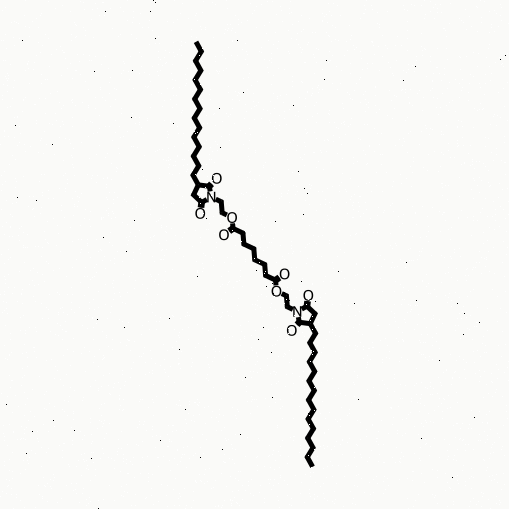 CCCCCCCCCCCCCCCC1CC(=O)N(CCOC(=O)CCCCCCC(=O)OCCN2C(=O)CC(CCCCCCCCCCCCCCC)C2=O)C1=O